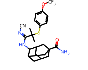 CC(C)(Sc1ccc(OC(F)(F)F)cc1)/C(=N\C#N)NC1C2CC3CC1CC(C(N)=O)(C3)C2